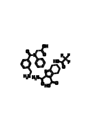 NC(=O)c1sc2c(c1C(=O)O)CCCC2.NCc1cccc(C(=O)N(CC(=O)O)c2ccccc2)c1.O=C(O)C(F)(F)F